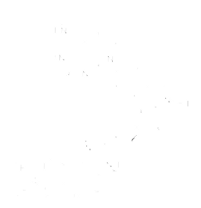 CN(C[C@@H]1CC[C@H](n2ccc3c(N)ncnc32)C1)[C@H]1C[C@H](CCc2nc3cc(OC(F)(F)F)ccc3[nH]2)C1